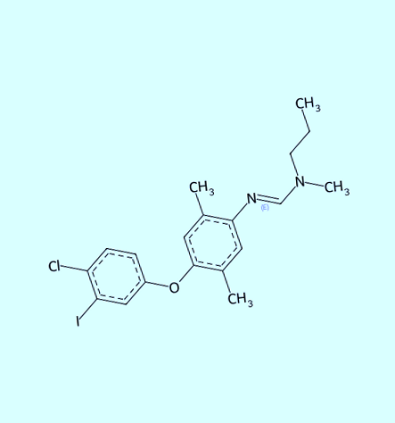 CCCN(C)/C=N/c1cc(C)c(Oc2ccc(Cl)c(I)c2)cc1C